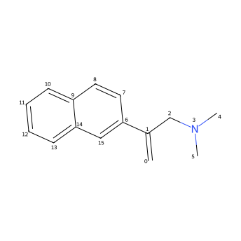 C=C(CN(C)C)c1ccc2ccccc2c1